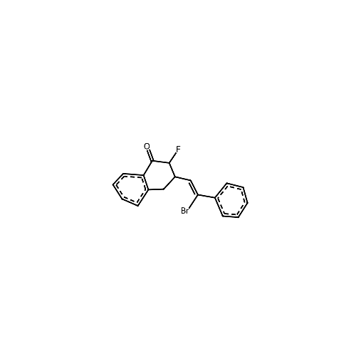 O=C1c2ccccc2CC(C=C(Br)c2ccccc2)C1F